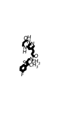 Cc1c(CN(C)C(=O)C=Cc2cnc3c(c2)NCCC(=O)N3)sc2ccc(F)cc12